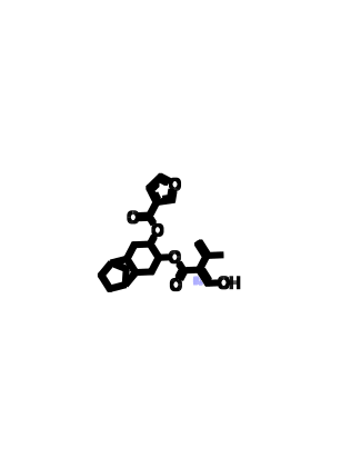 C=C(C)/C(=C\O)C(=O)OC1CC2C3CCC(C3)C2CC1OC(=O)c1ccoc1